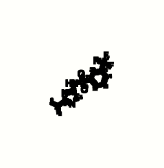 CC(C)c1nsc(NS(=O)(=O)c2cccc(C(F)(F)F)c2)n1